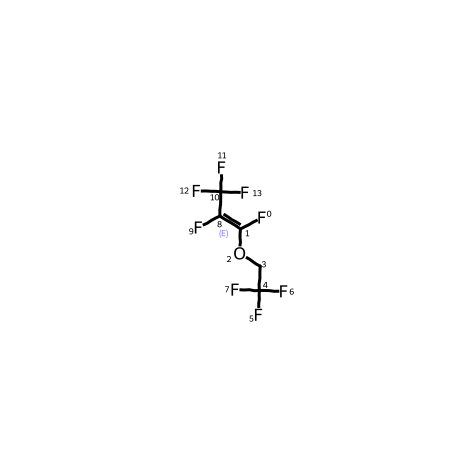 F/C(OCC(F)(F)F)=C(/F)C(F)(F)F